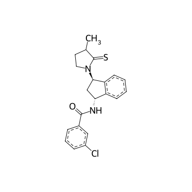 CC1CCN([C@@H]2C[C@@H](NC(=O)c3cccc(Cl)c3)c3ccccc32)C1=S